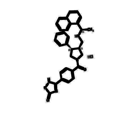 C[C@@H](NC[C@H]1CN(C(=O)c2ccc(-c3nc(=O)o[nH]3)cc2)C[C@@H]1c1ccccc1)c1cccc2ccccc12.Cl